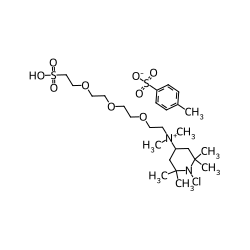 CC1(C)CC([N+](C)(C)CCOCCOCCOCCS(=O)(=O)O)CC(C)(C)N1Cl.Cc1ccc(S(=O)(=O)[O-])cc1